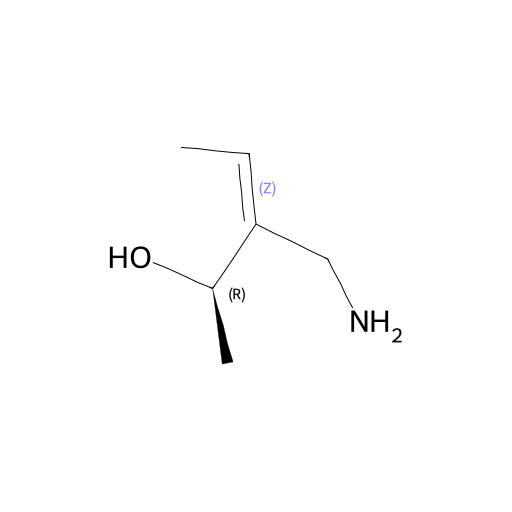 C/C=C(/CN)[C@@H](C)O